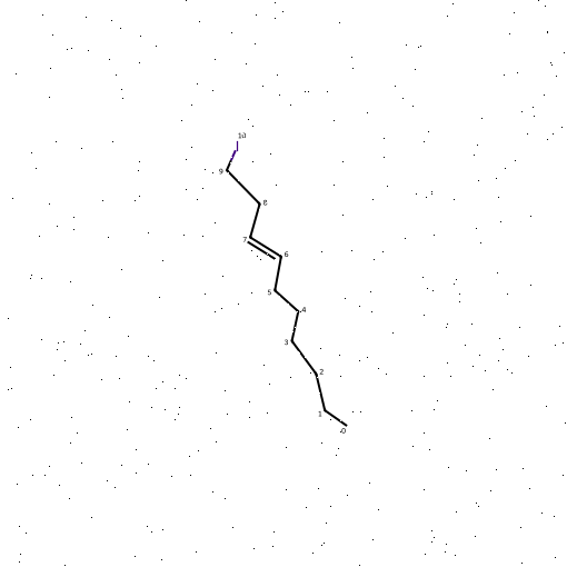 CCCCCCC=CCCI